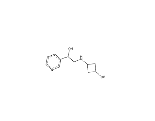 OC1CC(NCC(O)c2cccnc2)C1